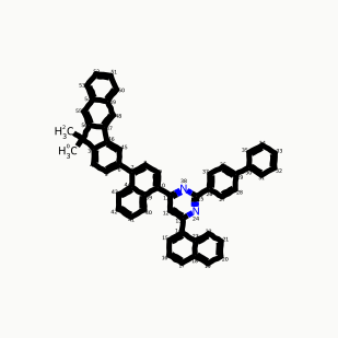 CC1(C)c2ccc(-c3ccc(-c4cc(-c5cccc6ccccc56)nc(-c5ccc(-c6ccccc6)cc5)n4)c4ccccc34)cc2-c2cc3ccccc3cc21